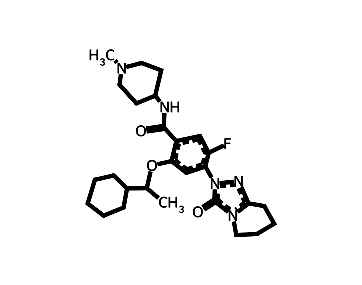 CC(Oc1cc(-n2nc3n(c2=O)CCCC3)c(F)cc1C(=O)NC1CCN(C)CC1)C1CCCCC1